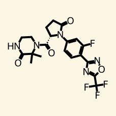 CC1(C)C(=O)NCCN1C(=O)[C@@H]1CCC(=O)N1c1ccc(-c2noc(C(F)(F)F)n2)c(F)c1